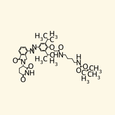 CC(C)c1cc(/N=N/c2cccc3c2CN(C2CCC(=O)NC2=O)C3=O)cc(C(C)C)c1OCC(=O)NCCCCNC(=O)OC(C)(C)C